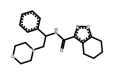 O=C(NC(CN1CCOCC1)c1ccccc1)c1noc2c1CCCC2